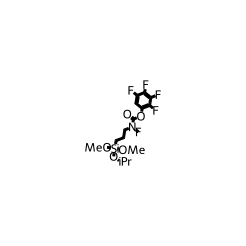 CO[Si](CCCN(F)C(=O)Oc1cc(F)c(F)c(F)c1F)(OC)OC(C)C